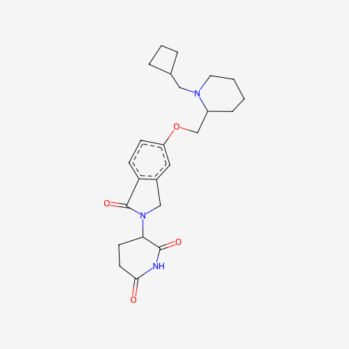 O=C1CCC(N2Cc3cc(OCC4CCCCN4CC4CCC4)ccc3C2=O)C(=O)N1